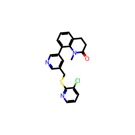 CN1C(=O)CCc2cccc(-c3cncc(CSc4ncccc4Cl)c3)c21